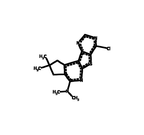 CN(C)c1nc2sc3c(Cl)ncnc3c2c2c1CC(C)(C)C2